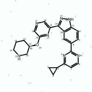 c1cc(C2CC2)nc(-c2ccc3[nH]nc(-c4cncc(O[C@@H]5CCCNC5)n4)c3c2)n1